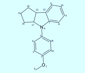 COc1ccc(N2c3ccccc3C3CCCC32)cc1